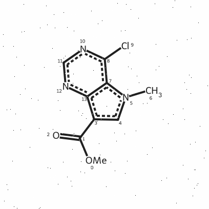 COC(=O)c1cn(C)c2c(Cl)ncnc12